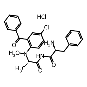 C[C@@H](C(=O)NC(=O)[C@@H](N)Cc1ccccc1)N(C)c1ccc(Cl)cc1C(=O)c1ccccc1.Cl